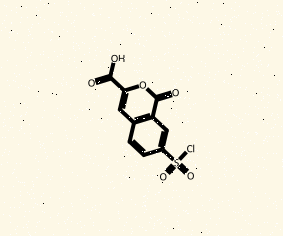 O=C(O)c1cc2ccc(S(=O)(=O)Cl)cc2c(=O)o1